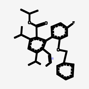 C/C=C\c1c(C(C)C)cc(C(C)C)c(C(=O)OC(C)C)c1-c1ccc(F)cc1OCc1ccccc1